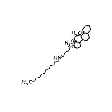 CCCCCCCCCCCCNCCCC[C@H]1CCC2C3CCC4CCCC[C@]4(C)C3CC[C@@]21C